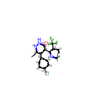 Cc1n[nH]c(=O)c(-c2ncccc2C(F)(F)F)c1-c1ccc(Cl)cc1